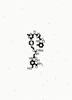 COC(NCC(=O)Nc1ccc(CO)c(C(N)=O)c1O)OCCN1CCN(c2cc(Nc3ncc(C(=O)Nc4c(C)cccc4Cl)s3)nc(C)n2)CC1